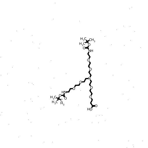 CC(C)(C)OC(=O)NCCOCCOCCN(CCOCCOCCNC(=O)OC(C)(C)C)CCOCCOCCC(=O)O